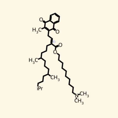 CC1=C(C/C=C(\CCCC(C)CCCC(C)CCCC(C)C)C(=O)OCCCCCCCCCCN(C)C)C(=O)c2ccccc2C1=O